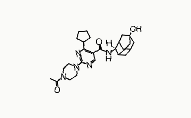 CC(=O)N1CCN(c2ncc(C(=O)N[C@H]3C4CC5CC3C[C@@](O)(C5)C4)c(C3CCCC3)n2)CC1